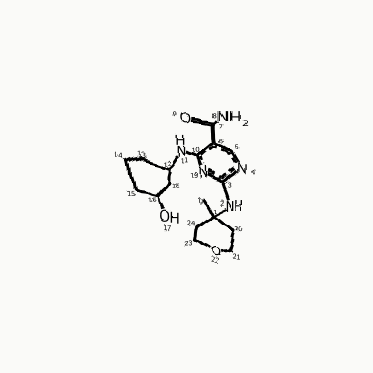 CC1(Nc2ncc(C(N)=O)c(NC3CCC[C@H](O)C3)n2)CCOCC1